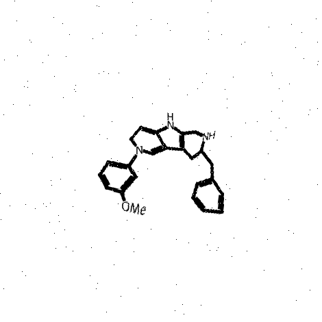 COc1cccc(N2C=c3c4c([nH]c3=CC2)CNC(Cc2ccccc2)C4)c1